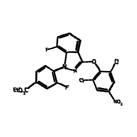 CCOC(=O)c1ccc(-n2nc(Oc3c(Cl)cc([N+](=O)[O-])cc3Cl)c3cccc(F)c32)c(F)c1